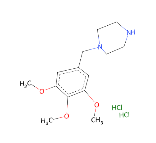 COc1cc(CN2CCNCC2)cc(OC)c1OC.Cl.Cl